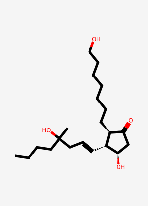 CCCCC(C)(O)C/C=C/[C@H]1[C@H](O)CC(=O)[C@@H]1CCCCCCCO